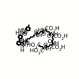 Cc1ccc(F)c(NC(=O)Nc2ccc(-c3cccc4[nH]nc(NC(=O)CCCCCNC(=O)CCC(=O)N[C@@H](CCC(=O)N[C@@H](CCC(=O)N[C@@H](CCC(=O)N[C@@H](CCC(=O)O)C(=O)O)C(=O)O)C(=O)O)C(=O)O)c34)cc2)c1